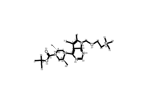 Cc1c(I)c2c(N3C[C@@H](C)N(C(=O)OC(C)(C)C)C[C@@H]3C)ncnc2n1COCC[Si](C)(C)C